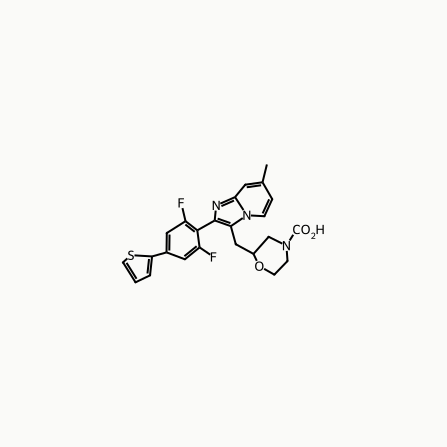 Cc1ccn2c(CC3CN(C(=O)O)CCO3)c(-c3c(F)cc(-c4cccs4)cc3F)nc2c1